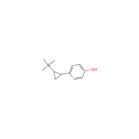 C[Si](C)(C)C1CC1c1ccc(O)cc1